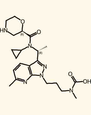 Cc1ccc2c([C@@H](C)N(C(=O)[C@H]3CNCCO3)C3CC3)nn(CCCN(C)C(=O)O)c2n1